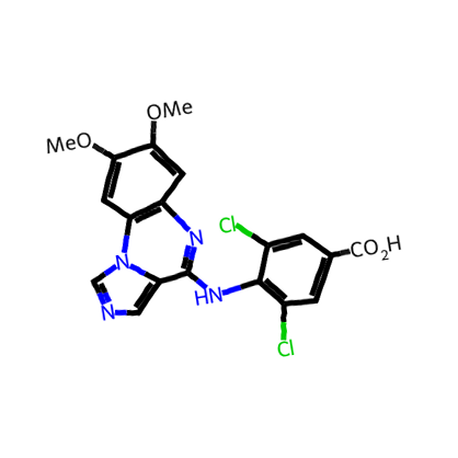 COc1cc2nc(Nc3c(Cl)cc(C(=O)O)cc3Cl)c3cncn3c2cc1OC